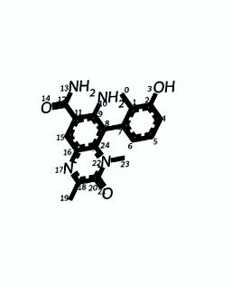 Cc1c(O)cccc1-c1c(N)c(C(N)=O)cc2nc(C)c(=O)n(C)c12